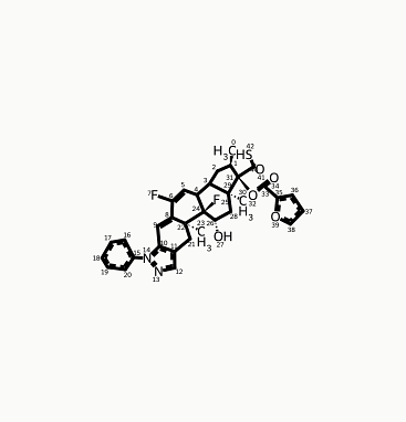 C[C@@H]1CC2C3C=C(F)C4=Cc5c(cnn5-c5ccccc5)C[C@]4(C)[C@@]3(F)[C@@H](O)C[C@]2(C)[C@@]1(OC(=O)c1ccco1)C(=O)S